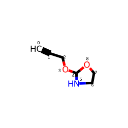 C#CCOC1NCCO1